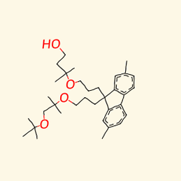 Cc1ccc2c(c1)C(CCCOC(C)(C)CCO)(CCCOC(C)(C)COC(C)(C)C)c1cc(C)ccc1-2